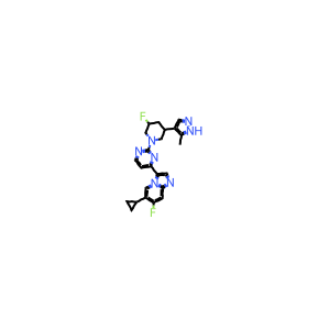 Cc1[nH]ncc1C1CC(F)CN(c2nccc(-c3cnc4cc(F)c(C5CC5)cn34)n2)C1